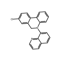 Clc1ccc2c(c1)CN(c1cccc3cccnc13)c1ccccc1-2